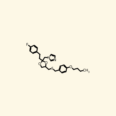 CCCCOc1ccc(CSCC2COC(CCc3ccc(F)cc3)(Cn3ccnc3)O2)cc1